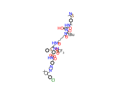 Cc1ncsc1-c1ccc([C@H](C)NC(=O)[C@@H]2C[C@@H](O)CN2C(=O)[C@@H](N(C)C(=O)CCCCCC(=O)NCC[C@H](CSc2ccccc2)Nc2ccc(S(=O)(=O)NC(=O)c3ccc(N4CCN(CC5=C(c6ccc(Cl)cc6)CCC(C)(C)C5)CC4)cc3)cc2S(=O)(=O)C(F)(F)F)C(C)(C)C)cc1